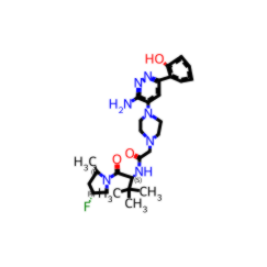 C[C@@H]1C[C@@H](F)CN1C(=O)[C@@H](NC(=O)CN1CCN(c2cc(-c3ccccc3O)nnc2N)CC1)C(C)(C)C